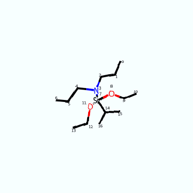 CCCN(CCC)[Si](OCC)(OCC)C(C)C